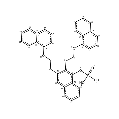 O=P(O)(O)Oc1c(CCOc2cccc3ccccc23)c(CCOc2cccc3ccccc23)cc2ccccc12